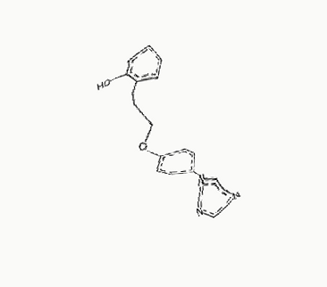 Oc1ccccc1CCOc1ccc(-n2cncn2)cc1